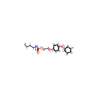 CCCCNC(=O)OCCOc1ccc(Oc2ccccc2)cc1